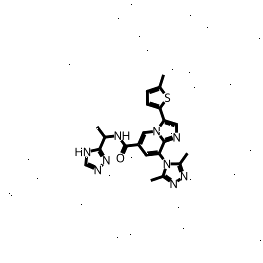 Cc1ccc(-c2cnc3c(-n4c(C)nnc4C)cc(C(=O)NC(C)c4nnc[nH]4)cn23)s1